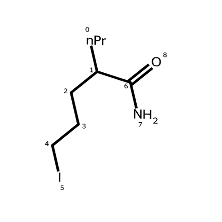 CCCC(CCCI)C(N)=O